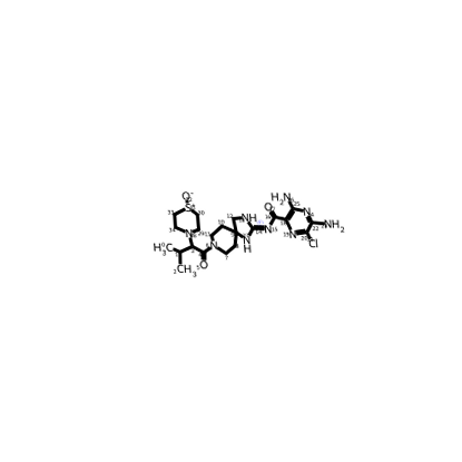 CC(C)C(C(=O)N1CCC2(CC1)CN/C(=N\C(=O)c1nc(Cl)c(N)nc1N)N2)N1CC[S+]([O-])CC1